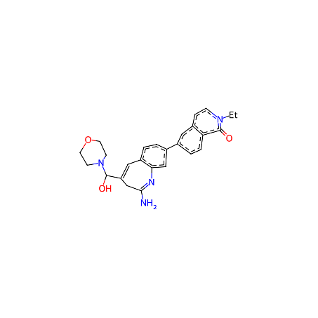 CCn1ccc2cc(-c3ccc4c(c3)N=C(N)CC(C(O)N3CCOCC3)=C4)ccc2c1=O